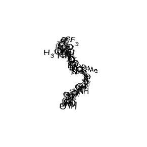 COc1cc2c(Oc3ccc(NC(=O)c4c(C)n(C)c5ccc(OC(F)(F)F)cc5c4=O)cc3F)ncnc2cc1OCC(=O)N1CCC2(CC1)CC2C(=O)Nc1ccc2c(c1)CN(C1CCC(=O)NC1=O)C2=O